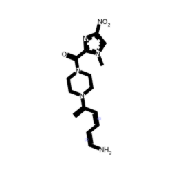 C=C(/C=C\C=C/N)N1CCN(C(=O)c2nc([N+](=O)[O-])cn2C)CC1